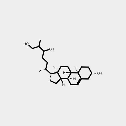 CC(CO)C(O)CC[C@@H](C)[C@H]1CC[C@H]2[C@@H]3CC=C4C[C@@H](O)CC[C@]4(C)[C@H]3CC[C@]12C